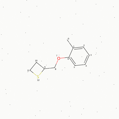 Cc1ccccc1OCC1CCS1